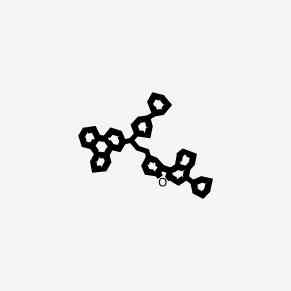 c1ccc(-c2ccc(C(CCc3ccc4oc5cc(-c6ccccc6)c6ccccc6c5c4c3)c3ccc4c5ccccc5c5ccccc5c4c3)cc2)cc1